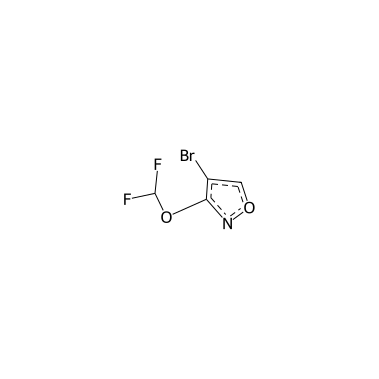 FC(F)Oc1nocc1Br